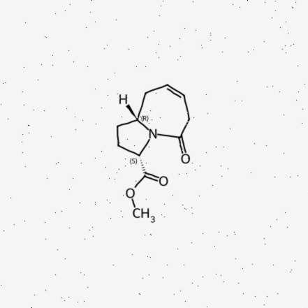 COC(=O)[C@@H]1CC[C@@H]2CC=CCC(=O)N21